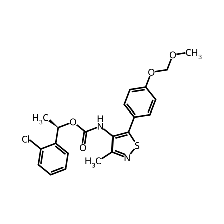 COCOc1ccc(-c2snc(C)c2NC(=O)O[C@H](C)c2ccccc2Cl)cc1